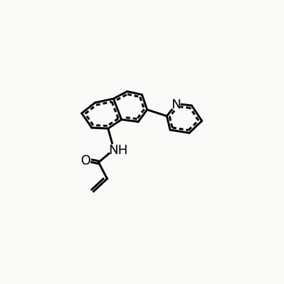 C=CC(=O)Nc1cccc2ccc(-c3ccccn3)cc12